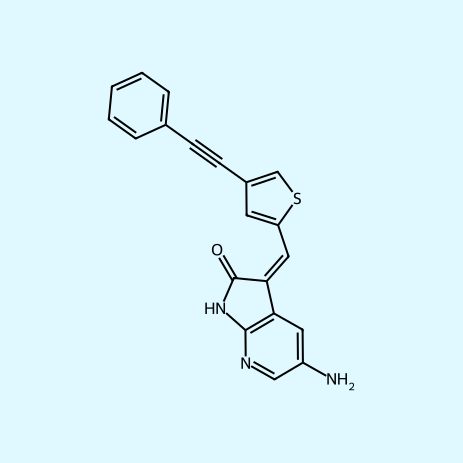 Nc1cnc2c(c1)C(=Cc1cc(C#Cc3ccccc3)cs1)C(=O)N2